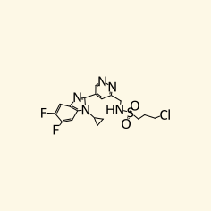 O=S(=O)(CCCCl)NCc1cc(-c2nc3cc(F)c(F)cc3n2C2CC2)cnn1